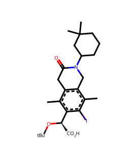 Cc1c(I)c([C@H](OC(C)(C)C)C(=O)O)c(C)c2c1CN(C1CCCC(C)(C)C1)C(=O)C2